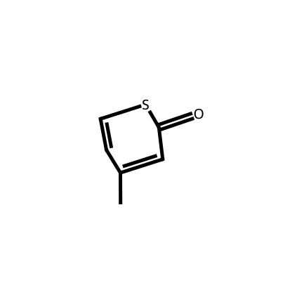 Cc1ccsc(=O)c1